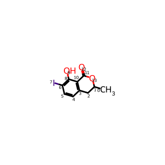 CC1Cc2ccc(I)c(O)c2C(=O)O1